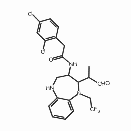 CC(C=O)C1C(NC(=O)Cc2ccc(Cl)cc2Cl)CNc2ccccc2N1CC(F)(F)F